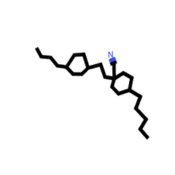 CCCCCC1CCC(C#N)(CCC2CCC(CCCC)CC2)CC1